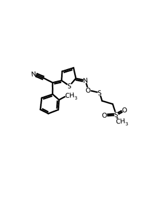 Cc1ccccc1C(C#N)=C1C=CC(=NOSCCS(C)(=O)=O)S1